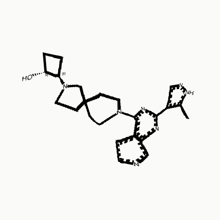 Cc1[nH]ncc1-c1nc(N2CCC3(CC2)CCN([C@@H]2CC[C@H]2O)C3)c2ccncc2n1